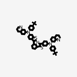 CC(C)(C)c1ccc(N(c2ccc3cccnc3c2)c2ccc3c(c2)sc2c3c3cccc4c5sc6cc(N(c7ccc(C(C)(C)C)cc7)c7ccc8cccnc8c7)ccc6c5n2c43)cc1